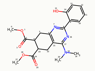 COC(=O)C1Cc2nc(-c3ccccc3O)nc(N(C)C)c2CC1C(=O)OC